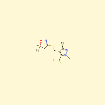 CCC1(C)CC(SCc2c(Cl)nn(C)c2C(F)F)=NO1